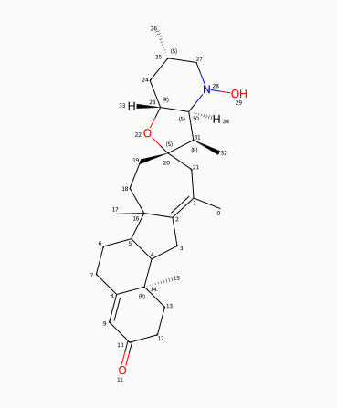 CC1=C2CC3C(CCC4=CC(=O)CC[C@@]43C)C2(C)CC[C@@]2(C1)O[C@@H]1C[C@H](C)CN(O)[C@H]1[C@H]2C